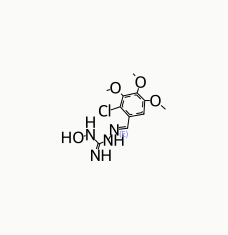 COc1cc(/C=N/NC(=N)NO)c(Cl)c(OC)c1OC